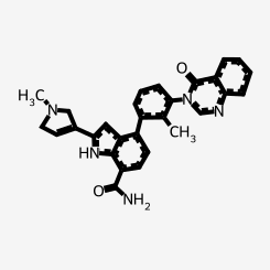 Cc1c(-c2ccc(C(N)=O)c3[nH]c(C4=CCN(C)C4)cc23)cccc1-n1cnc2ccccc2c1=O